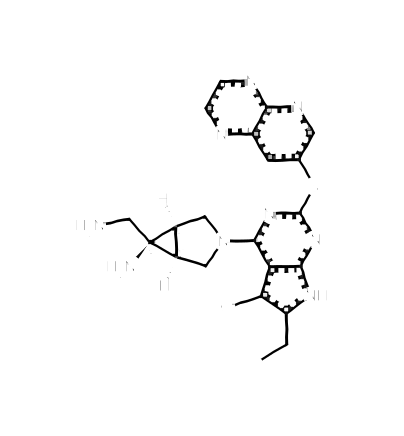 CCc1[nH]c2nc(Sc3cnc4nccnc4c3)nc(N3C[C@@H]4[C@H](C3)[C@@]4(N)CN)c2c1Cl